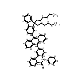 CCCCCCC1(CCCCCC)c2ccccc2-c2ccc(-c3c4ccccc4c(-c4ccc5c(c4)c4ccccc4c(=O)n5-c4ccccc4)c4ccccc34)cc21